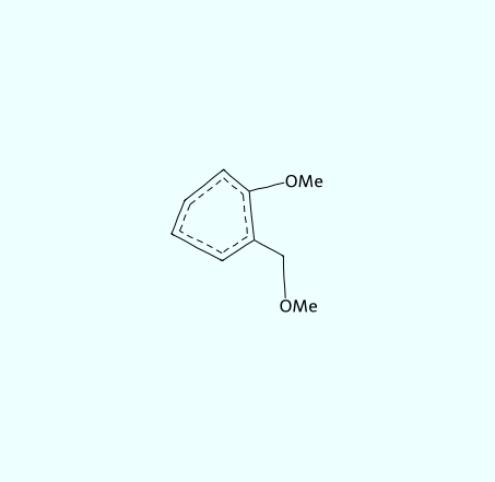 COCc1ccccc1OC